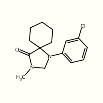 CN1CN(c2cccc(Cl)c2)C2(CCCCC2)C1=O